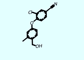 Cc1cc(Oc2ccc(C#N)cc2Cl)ccc1CO